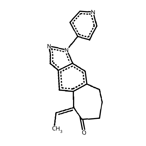 C/C=C1\C(=O)CCCc2cc3c(cnn3-c3ccncc3)cc21